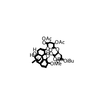 COc1ccc2c3c1O[C@H]1C(OC(=O)[C@H](OC(C)=O)[C@@H](OC(C)=O)C(=O)O[C@@H](CC(=O)OCC(C)C)C(=O)OCC(C)C)=CC[C@@]4(O)[C@@H](C2)N(C)CC[C@]314